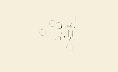 O=C(CCCc1ccccc1)N[C@H](Cc1ccc(Cl)cc1)C(=O)N1CCN[C@H](Cc2ccc3ccccc3c2)C1